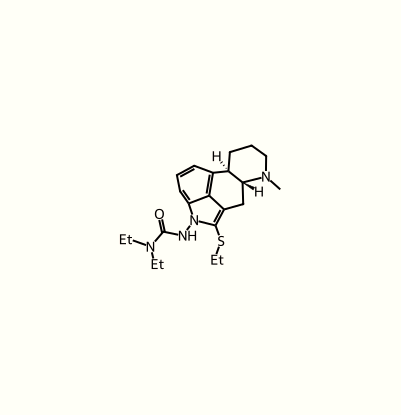 CCSc1c2c3c(cccc3n1NC(=O)N(CC)CC)[C@H]1CCCN(C)[C@@H]1C2